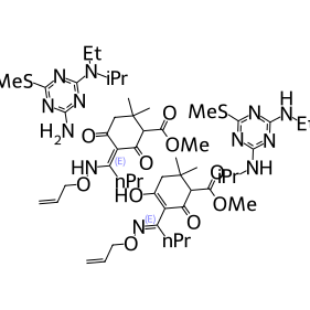 C=CCO/N=C(\CCC)C1=C(O)CC(C)(C)C(C(=O)OC)C1=O.C=CCON/C(CCC)=C1\C(=O)CC(C)(C)C(C(=O)OC)C1=O.CCN(c1nc(N)nc(SC)n1)C(C)C.CCNc1nc(NC(C)C)nc(SC)n1